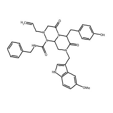 C=CCN1CC(=O)N2C(Cc3ccc(O)cc3)C(=O)N(Cc3c[nH]c4ccc(OC)cc34)CC2N1C(=O)NCc1ccccc1